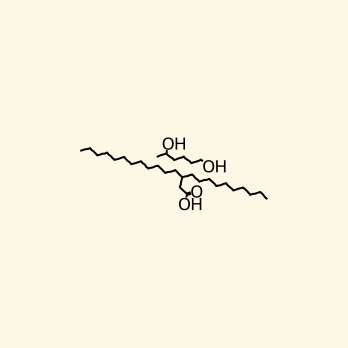 CC(O)CCCCO.CCCCCCCCCCCCC(CCCCCCCCCC)CC(=O)O